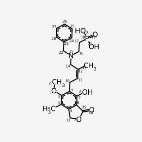 COc1c(C)c2c(c(O)c1CC=C(C)CN(CCP(=O)(O)O)Cc1ccccc1)C(=O)OC2